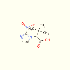 CC(C)(C)C(C(=O)O)n1ccnc1[N+](=O)[O-]